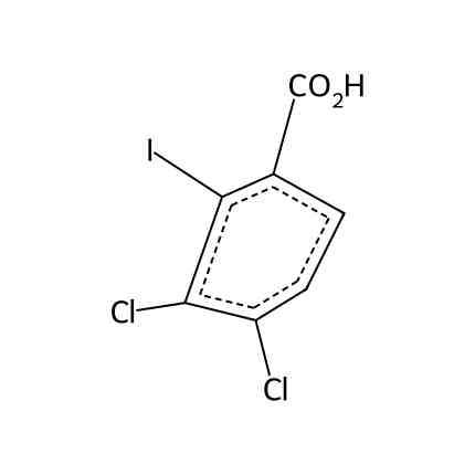 O=C(O)c1ccc(Cl)c(Cl)c1I